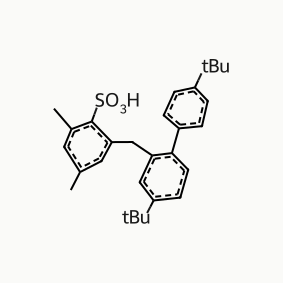 Cc1cc(C)c(S(=O)(=O)O)c(Cc2cc(C(C)(C)C)ccc2-c2ccc(C(C)(C)C)cc2)c1